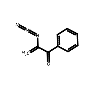 C=C(N=[N+]=[N-])C(=O)c1ccccc1